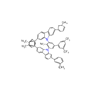 Cc1cccc(-c2ccc3c4ccc(-c5cccc(C)c5)cc4n(-c4cc(-c5cc(C(F)(F)F)cc(C(F)(F)F)c5)cc(-n5c6cc(-c7cccc(C)c7)ccc6c6ccc(-c7cccc(C)c7)cc65)c4C#N)c3c2)c1